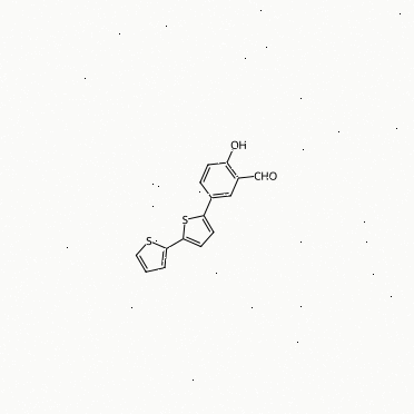 O=Cc1cc(-c2ccc(-c3cccs3)s2)ccc1O